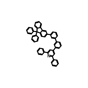 c1ccc(-c2cc(-c3cccc(-c4cccc(-c5ccc6c(c5)-c5ccccc5C6(c5ccccc5)c5ccccc5)c4)c3)cc(-c3ccccc3)n2)cc1